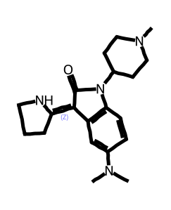 CN1CCC(N2C(=O)/C(=C3/CCCN3)c3cc(N(C)C)ccc32)CC1